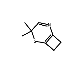 CC1(C)C=NC2=C(CC2)S1